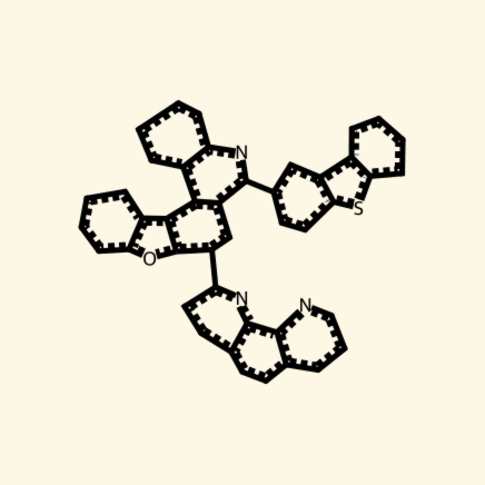 c1cnc2c(c1)ccc1ccc(-c3cc4c(-c5ccc6sc7ccccc7c6c5)nc5ccccc5c4c4c3oc3ccccc34)nc12